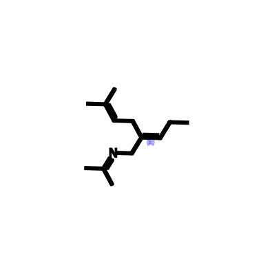 CC/C=C(\CC=C(C)C)CN=C(C)C